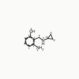 Nc1cccc(O)c1CNC1CC1